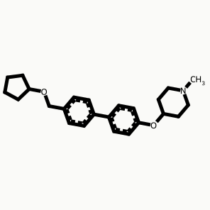 CN1CCC(Oc2ccc(-c3ccc(COC4CCCC4)cc3)cc2)CC1